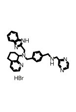 Br.c1cnc2c(c1)CCCC2N(Cc1ccc(CNCc2cnccn2)cc1)Cc1nc2ccccc2[nH]1